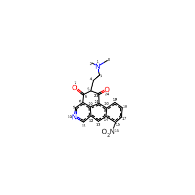 CN(C)CCC1C(=O)c2cncc3cc4c([N+](=O)[O-])cccc4c(c23)C1=O